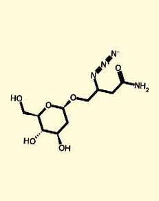 [N-]=[N+]=NC(CO[C@H]1C[C@@H](O)[C@H](O)[C@@H](CO)O1)CC(N)=O